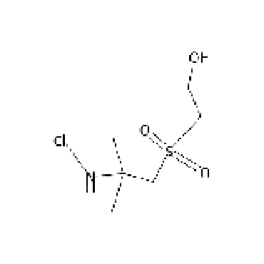 CC(C)(CS(=O)(=O)CCO)NCl